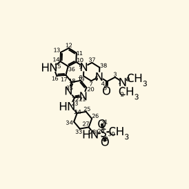 CN(C)CC(=O)N1CCN(c2cccc3[nH]cc(-c4ccnc(NC5CCC(NS(C)(=O)=O)CC5)n4)c23)CC1